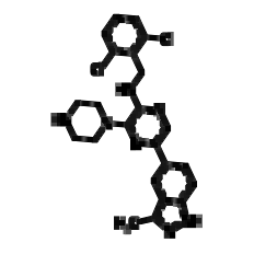 Cc1n[nH]c2ccc(-c3cnc(NCc4c(Cl)cccc4Cl)c(N4CCNCC4)n3)cc12